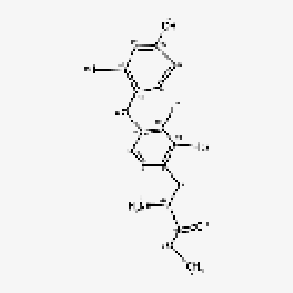 COC(=O)[C@@H](N)Cc1ccc(Oc2ccc(O)cc2I)c(I)c1I